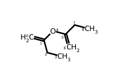 C=C(CC)OC(=C)CC